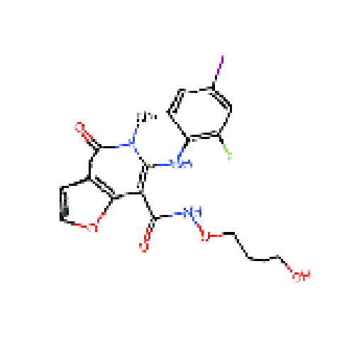 Cn1c(Nc2ccc(I)cc2F)c(C(=O)NOCCCO)c2occc2c1=O